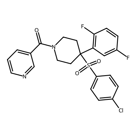 O=C(c1cccnc1)N1CCC(c2cc(F)ccc2F)(S(=O)(=O)c2ccc(Cl)cc2)CC1